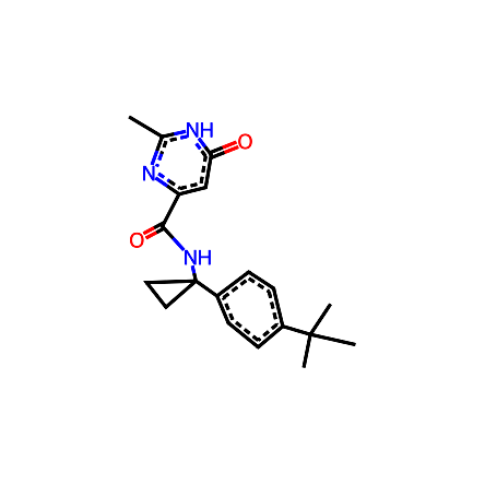 Cc1nc(C(=O)NC2(c3ccc(C(C)(C)C)cc3)CC2)cc(=O)[nH]1